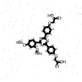 CCCCOc1ccc(-c2nc(-c3ccc(OCC(O)CC)cc3)nc(-c3ccc(OCC(O)CC)cc3)n2)c(OCCCC)c1